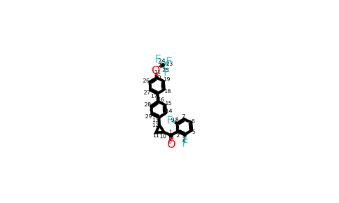 O=C(c1c(F)cccc1F)C1CC1c1ccc(-c2ccc(OC(F)(F)F)cc2)cc1